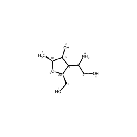 C[C@@H]1O[C@H](CO)C(C(N)CO)C1O